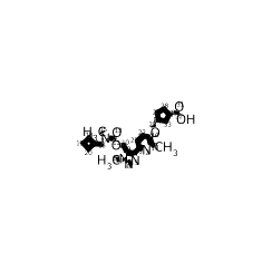 Cc1nc(-c2nnn(C)c2COC(=O)N(C)CC2CCC2)ccc1OC[C@@H]1CC[C@H](C(=O)O)C1